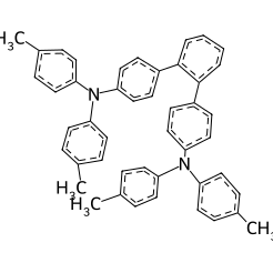 Cc1ccc(N(c2ccc(C)cc2)c2ccc(-c3ccccc3-c3ccc(N(c4ccc(C)cc4)c4ccc(C)cc4)cc3)cc2)cc1